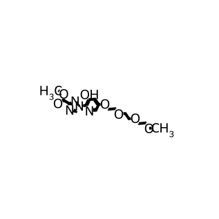 COCCOCCOCCOc1cnc(-n2cnc(C(=O)OC)n2)c(O)c1